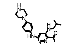 CC(=O)c1nnc(Nc2ccc(N3CCNCC3)cc2)cc1NCC(C)C